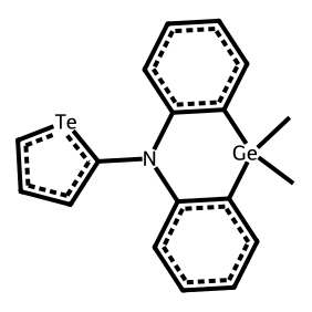 [CH3][Ge]1([CH3])[c]2ccccc2N(c2ccc[te]2)c2cccc[c]21